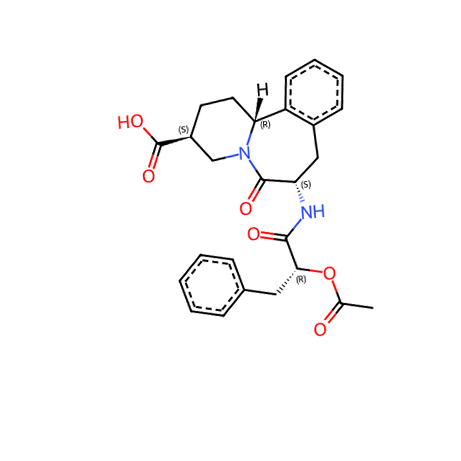 CC(=O)O[C@H](Cc1ccccc1)C(=O)N[C@H]1Cc2ccccc2[C@H]2CC[C@H](C(=O)O)CN2C1=O